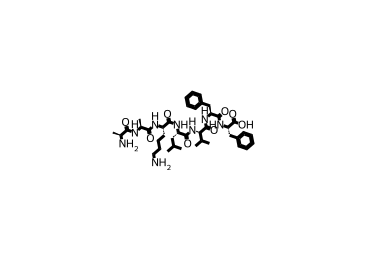 CC(C)C[C@H](NC(=O)[C@H](CCCCN)NC(=O)[C@H](C)NC(=O)[C@H](C)N)C(=O)N[C@H](C(=O)N[C@@H](Cc1ccccc1)C(=O)N[C@@H](Cc1ccccc1)C(=O)O)C(C)C